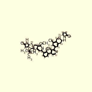 COc1nc(-c2cccc(-c3ccnc(-c4cc(Cl)c5c(c4)CCN(C[C@@H]4CCC(=O)N4)C5)c3Cl)c2Cl)ccc1CN(C[C@@H]1CCC(=O)N1)C(=O)OC(C)(C)C